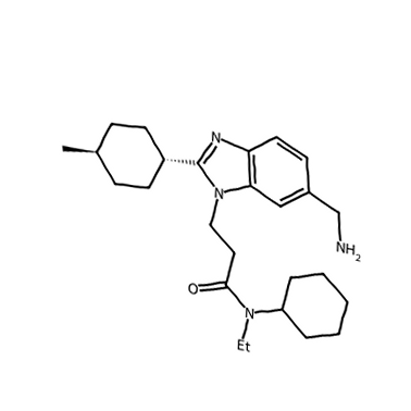 CCN(C(=O)CCn1c2cc(CN)ccc2nc1[C@H]1CC[C@H](C)CC1)C1CCCCC1